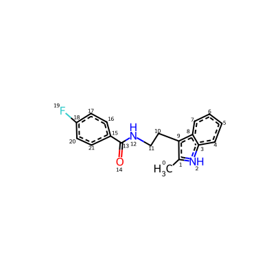 Cc1[nH]c2ccccc2c1CCNC(=O)c1ccc(F)cc1